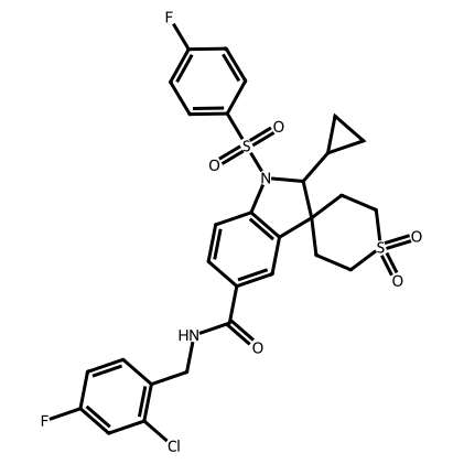 O=C(NCc1ccc(F)cc1Cl)c1ccc2c(c1)C1(CCS(=O)(=O)CC1)C(C1CC1)N2S(=O)(=O)c1ccc(F)cc1